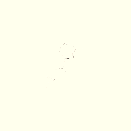 CS(=O)(=O)NC(=O)c1cccc(C(F)(F)F)c1